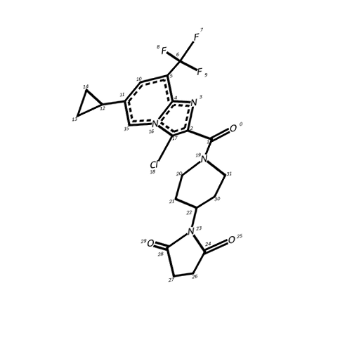 O=C(c1nc2c(C(F)(F)F)cc(C3CC3)cn2c1Cl)N1CCC(N2C(=O)CCC2=O)CC1